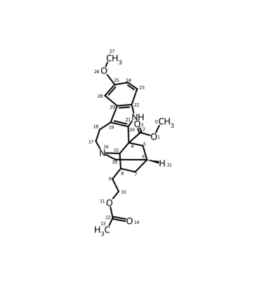 COC(=O)C12C[C@@H]3CC(CCOC(C)=O)C1N(CCc1c2[nH]c2ccc(OC)cc12)C3